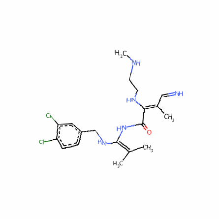 CNCCN/C(C(=O)NC(NCc1ccc(Cl)c(Cl)c1)=C(C)C)=C(/C)C=N